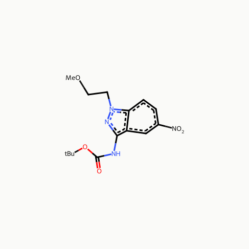 COCCn1nc(NC(=O)OC(C)(C)C)c2cc([N+](=O)[O-])ccc21